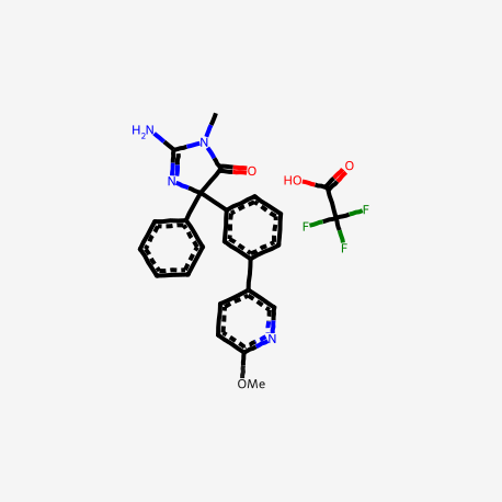 COc1ccc(-c2cccc(C3(c4ccccc4)N=C(N)N(C)C3=O)c2)cn1.O=C(O)C(F)(F)F